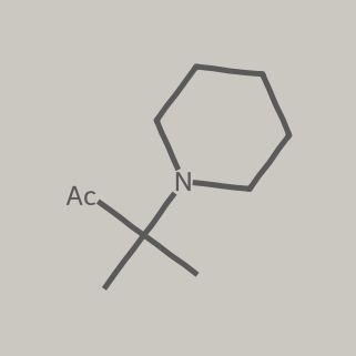 CC(=O)C(C)(C)N1CCCCC1